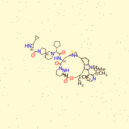 CCn1c(-c2cccnc2[C@H](C)OC)c2c3cc(ccc31)-c1csc(n1)C[C@H](NC(=O)C(C1CCCC1)N1CCC[C@@]3(CCN(C(=O)[C@@H]4NC4C4CC4)C3)C1)C(=O)N1CCC[C@H](N1)C(=O)OCC(C)(C)C2